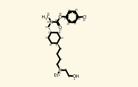 CCN(CCO)CCCC[C@H]1CC[C@H](CN(C)C(=O)Oc2ccc(Cl)cc2)CC1